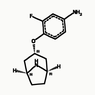 Nc1ccc(O[C@@H]2C[C@H]3CC[C@@H](C2)N3)c(F)c1